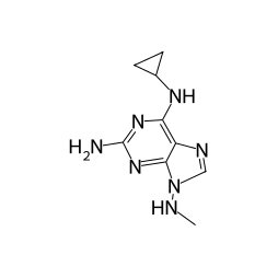 CNn1cnc2c(NC3CC3)nc(N)nc21